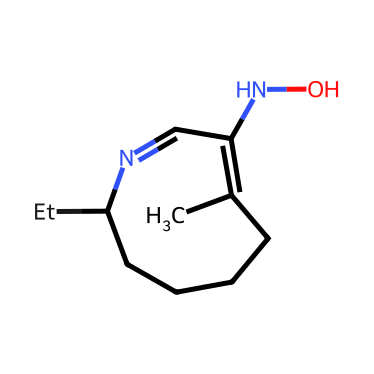 CCC1CCCC/C(C)=C(NO)/C=N\1